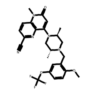 COc1ccc(OC(F)(F)F)cc1CN1C[C@H](C)N(c2cc(=O)n(C)c3ccc(C#N)nc23)C[C@H]1C